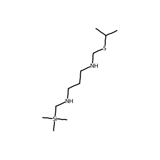 CC(C)SCNCCCNC[Si](C)(C)C